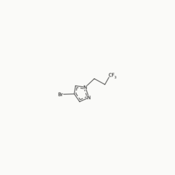 FC(F)(F)CCn1cc(Br)cn1